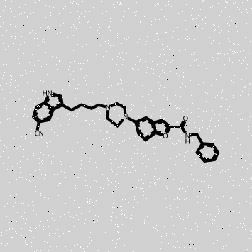 N#Cc1ccc2[nH]cc(CCCCN3CCN(c4ccc5oc(C(=O)NCc6ccccc6)cc5c4)CC3)c2c1